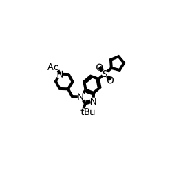 CC(=O)N1CCC(Cn2c(C(C)(C)C)nc3cc(S(=O)(=O)C4CCCC4)ccc32)CC1